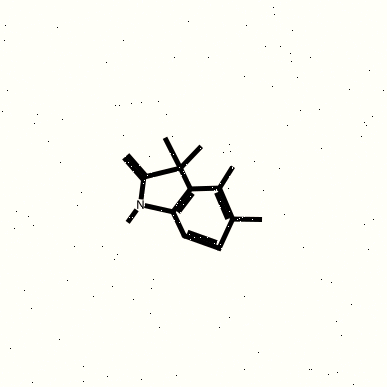 C=C1N(C)c2ccc(C)c(C)c2C1(C)C